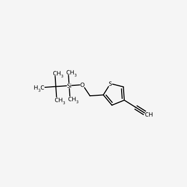 C#Cc1csc(CO[Si](C)(C)C(C)(C)C)c1